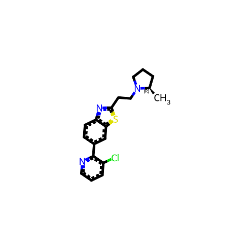 C[C@@H]1CCCN1CCc1nc2ccc(-c3ncccc3Cl)cc2s1